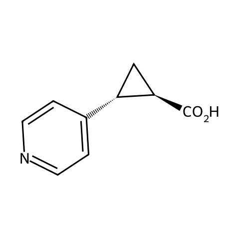 O=C(O)[C@@H]1C[C@H]1c1ccncc1